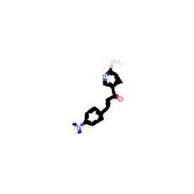 Bc1ccc(C(=O)/C=C/c2ccc(N(C)C)cc2)cn1